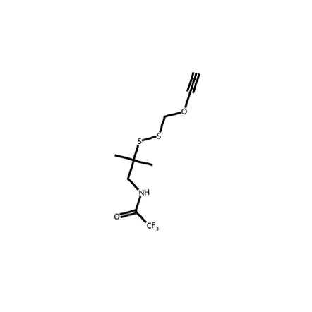 C#COCSSC(C)(C)CNC(=O)C(F)(F)F